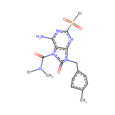 CCN(C)C(=O)n1c(=O)n(Cc2ccc(C)cc2)c2nc(S(=O)(=O)CC)nc(N)c21